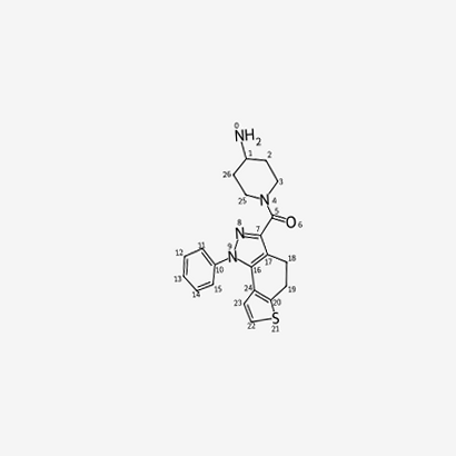 NC1CCN(C(=O)c2nn(-c3ccccc3)c3c2CCc2sccc2-3)CC1